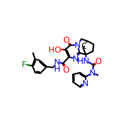 Cc1cc(CNC(=O)c2nc3n(c(=O)c2O)CC2CCC3(NC(=O)N(C)c3ccccn3)CC2)ccc1F